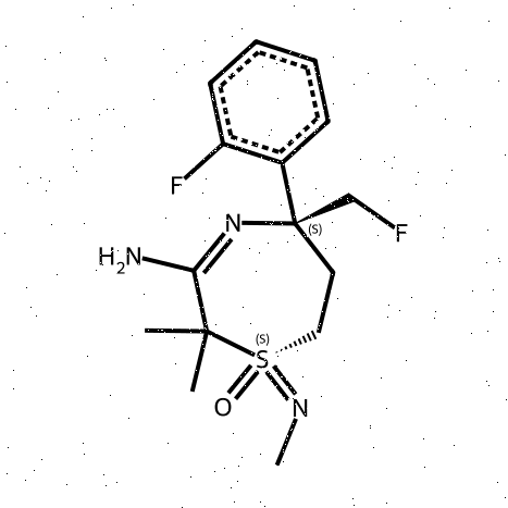 CN=[S@]1(=O)CC[C@@](CF)(c2ccccc2F)N=C(N)C1(C)C